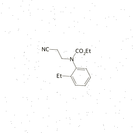 CCOC(=O)N(CCC#N)c1ccccc1CC